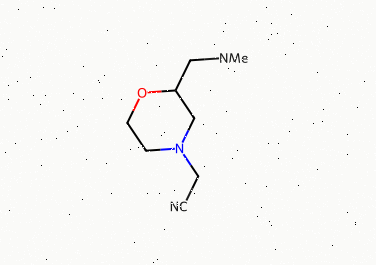 CNCC1CN(CC#N)CCO1